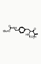 C=C(C)C(=O)C(Cc1ccc(CNC(=O)OC(C)(C)C)cc1)NC(=O)O